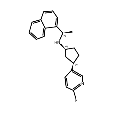 C[C@@H](N[C@H]1CC[C@@H](c2ccc(F)nc2)C1)c1cccc2ccccc12